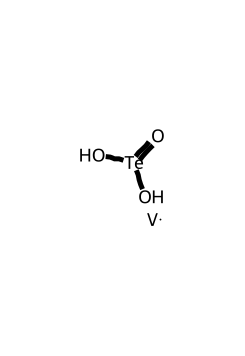 O=[Te](O)O.[V]